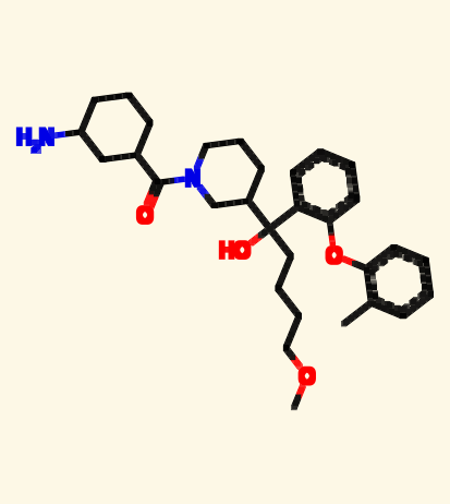 COCCCCC(O)(c1ccccc1Oc1ccccc1C)C1CCCN(C(=O)C2CCCC(N)C2)C1